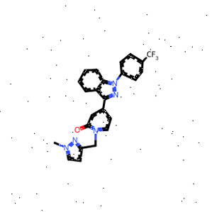 Cn1ccc(Cn2ccc(-c3nn(-c4ccc(C(F)(F)F)cc4)c4ccccc34)cc2=O)n1